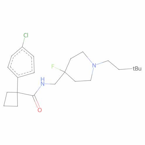 CC(C)(C)CCN1CCC(F)(CNC(=O)C2(c3ccc(Cl)cc3)CCC2)CC1